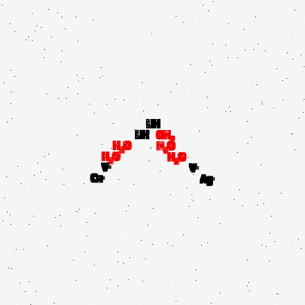 O.O.O.O.O.[Ag].[Cu].[LiH].[LiH].[V].[V]